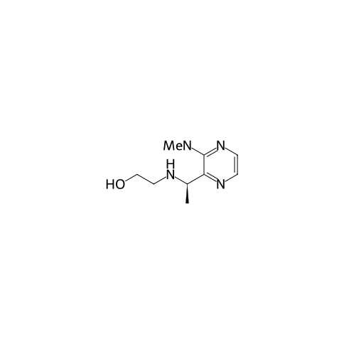 CNc1nccnc1[C@@H](C)NCCO